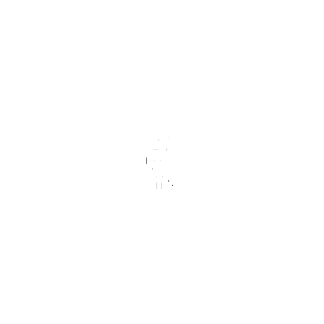 CO.[K+].[Na+].[OH-].[OH-]